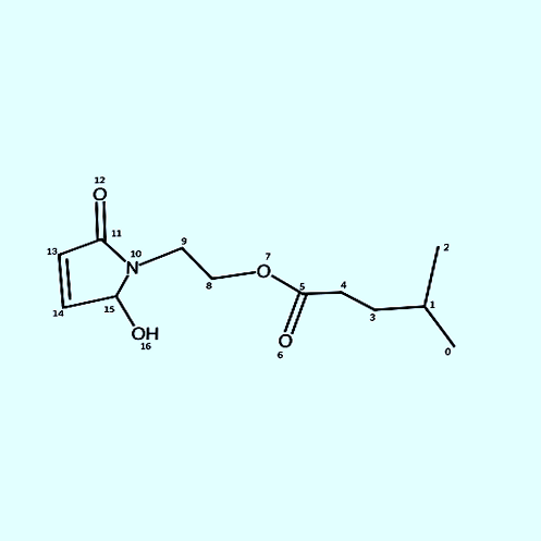 CC(C)CCC(=O)OCCN1C(=O)C=CC1O